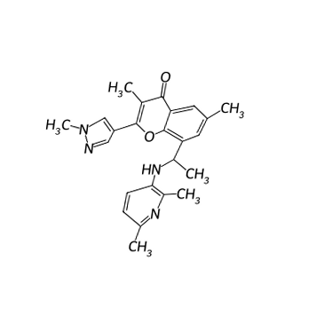 Cc1cc(C(C)Nc2ccc(C)nc2C)c2oc(-c3cnn(C)c3)c(C)c(=O)c2c1